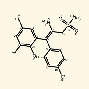 Cc1cc(Cl)cc(C(=C(N)CS(N)(=O)=O)c2ccc(Cl)cc2)c1O